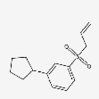 C=CCS(=O)(=O)c1cccc(C2CCCC2)c1